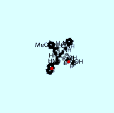 COc1ccc2[nH]c(C)c(CC(=O)N[C@@H](CCCCNC(=O)Nc3ccccc3N)c3ncc(-c4ccc5ccccc5c4)[nH]3)c2c1.O=C(O)C(F)(F)F.O=C(O)C(F)(F)F